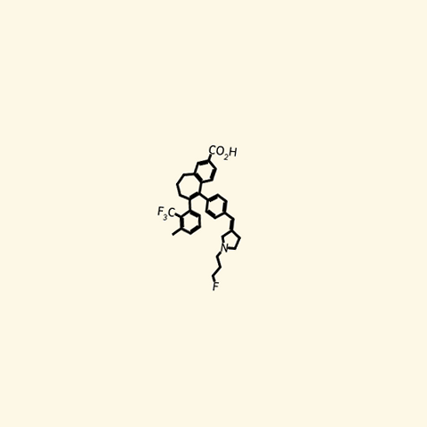 Cc1cccc(C2=C(c3ccc(C=C4CCN(CCCF)C4)cc3)c3ccc(C(=O)O)cc3CCC2)c1C(F)(F)F